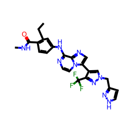 CCc1cc(Nc2nccn3c(-c4cn(Cc5cc[nH]n5)nc4C(F)(F)F)cnc23)ccc1C(=O)NC